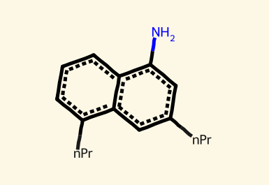 CCCc1cc(N)c2cccc(CCC)c2c1